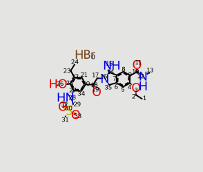 Br.CCOc1cc2c(cc1C(=O)NC)C(=N)N(CC(=O)c1cc(CC)c(O)c(NCS(C)(=O)=O)c1)C2